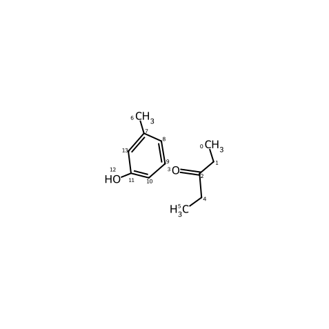 CCC(=O)CC.Cc1cccc(O)c1